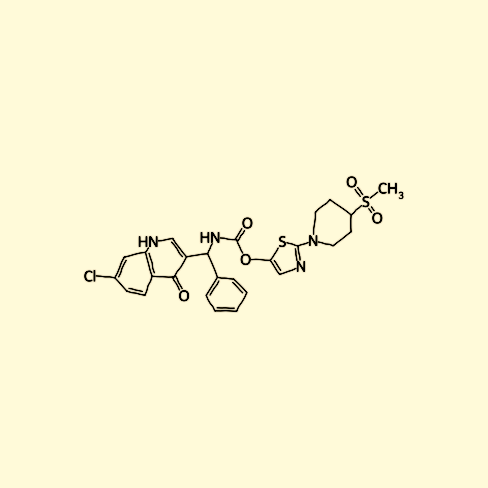 CS(=O)(=O)C1CCN(c2ncc(OC(=O)NC(c3ccccc3)c3c[nH]c4cc(Cl)ccc4c3=O)s2)CC1